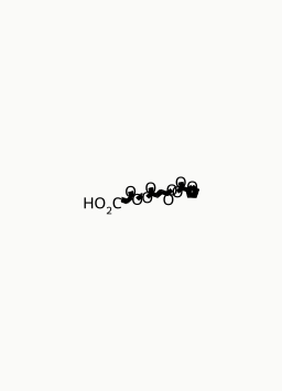 O=C(O)/C=C/C(=O)OCOC(=O)/C=C/C(=O)OOC(=O)c1ccco1